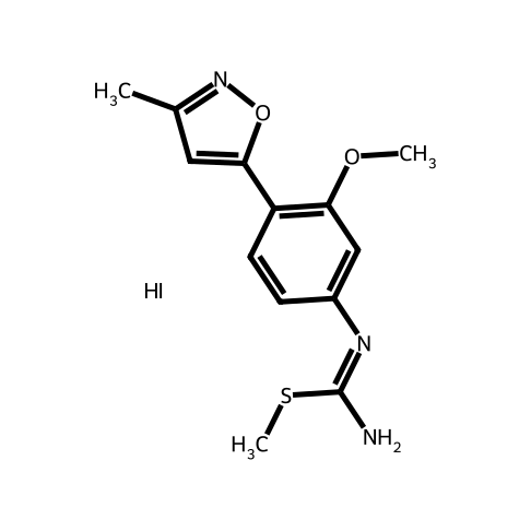 COc1cc(N=C(N)SC)ccc1-c1cc(C)no1.I